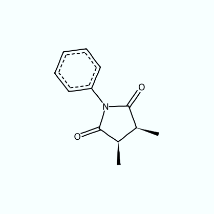 C[C@@H]1C(=O)N(c2ccccc2)C(=O)[C@@H]1C